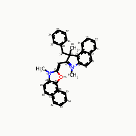 CN1/C(=C/C2=[N+](C)c3ccc4ccccc4c3C2(C)Cc2ccccc2)Oc2c1ccc1ccccc21